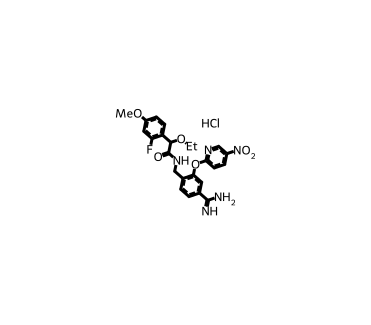 CCOC(C(=O)NCc1ccc(C(=N)N)cc1Oc1ccc([N+](=O)[O-])cn1)c1ccc(OC)cc1F.Cl